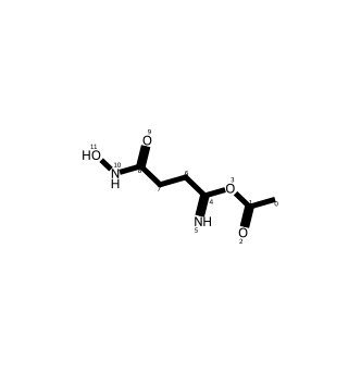 CC(=O)OC(=N)CCC(=O)NO